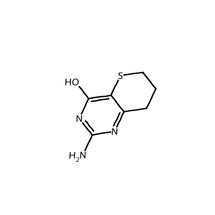 Nc1nc(O)c2c(n1)CCCS2